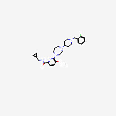 COc1ccc(C(=O)NCC2CC2)nc1N1CCCN(C2CCN(Cc3ccccc3Cl)CC2)CC1